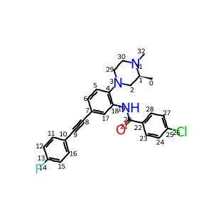 C[C@H]1CN(c2ccc(C#Cc3ccc(F)cc3)cc2NC(=O)c2ccc(Cl)cc2)CCN1C